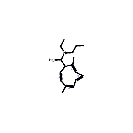 CCCN(CC)C(O)C1\C=C/C(C)=C\C=C\C=C\1C